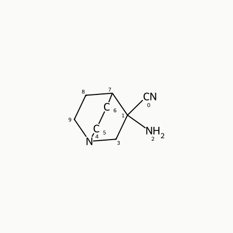 N#CC1(N)CN2CCC1CC2